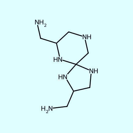 NCC1CNCC2(NCC(CN)N2)N1